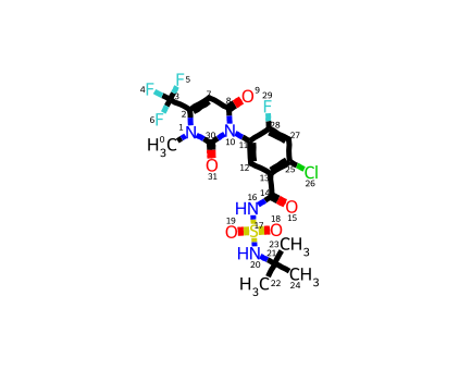 Cn1c(C(F)(F)F)cc(=O)n(-c2cc(C(=O)NS(=O)(=O)NC(C)(C)C)c(Cl)cc2F)c1=O